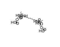 CCC(C)[C@H](NC(=O)Cc1ccc(C(=O)O)cc1)C(=O)NCCCCCCCCCCCCNC(=O)[C@@H](NC(=O)Cc1ccc(C(=O)O)cc1)C(C)CC